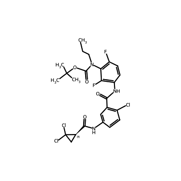 CCCN(C(=O)OC(C)(C)C)c1c(F)ccc(NC(=O)c2cc(NC(=O)[C@H]3CC3(Cl)Cl)ccc2Cl)c1F